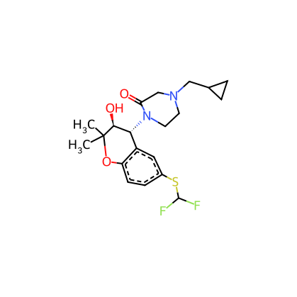 CC1(C)Oc2ccc(SC(F)F)cc2[C@@H](N2CCN(CC3CC3)CC2=O)[C@@H]1O